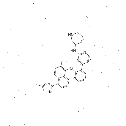 Cc1cnn(-c2cccc3c(Oc4ncccc4-c4ccnc(NC5CCCNC5)n4)c(C)ccc23)c1